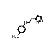 Cc1ccc(OCCc2ccon2)cc1